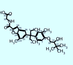 CCC(CC)(c1ccc(OCC(O)C(C)(C)C)c(C)c1)c1cc(C)c2oc(C(=O)NCC(=O)O)cc2c1